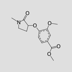 COC(=O)c1ccc(OC2CCN(C)C2=O)c(OC)c1